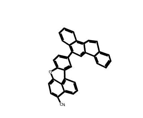 N#Cc1ccc2c3c(cccc13)-c1cc(-c3cc4c5ccccc5ccc4c4ccccc34)ccc1O2